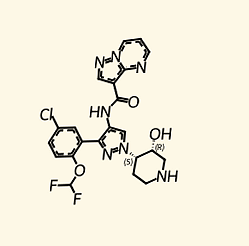 O=C(Nc1cn([C@H]2CCNC[C@H]2O)nc1-c1cc(Cl)ccc1OC(F)F)c1cnn2cccnc12